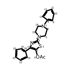 CC(=O)Oc1sc(N2CCN(c3ccccc3)CC2)nc1-c1ccccc1